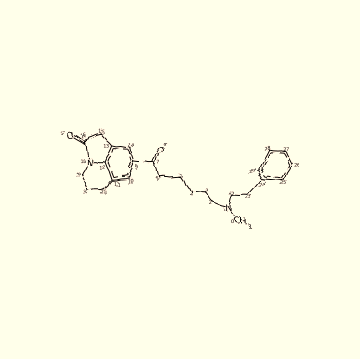 CN(CCCCCC(=O)c1cc2c3c(c1)CC(=O)N3CCC2)CCc1ccccc1